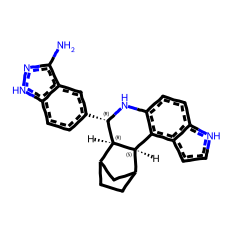 Nc1n[nH]c2ccc([C@@H]3Nc4ccc5[nH]ccc5c4[C@H]4C5CCC(C5)[C@@H]34)cc12